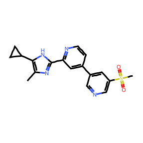 Cc1nc(-c2cc(-c3cncc(S(C)(=O)=O)c3)ccn2)[nH]c1C1CC1